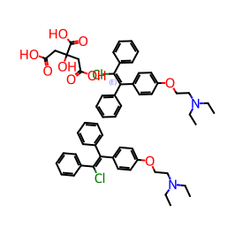 CCN(CC)CCOc1ccc(/C(=C(/Cl)c2ccccc2)c2ccccc2)cc1.CCN(CC)CCOc1ccc(C(=C(Cl)c2ccccc2)c2ccccc2)cc1.O=C(O)CC(O)(CC(=O)O)C(=O)O